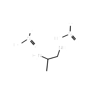 CC(N)CN.O=[N+]([O-])O.O=[N+]([O-])O